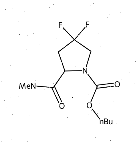 CCCCOC(=O)N1CC(F)(F)CC1C(=O)NC